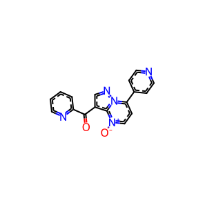 O=C(c1ccccn1)c1cnn2c(-c3ccncc3)cc[n+]([O-])c12